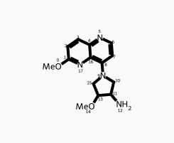 COc1ccc2nccc(N3CC(N)C(OC)C3)c2n1